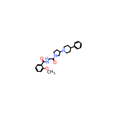 COc1ccccc1C(=O)NCC(=O)N1CCC(N2CCC(c3ccccc3)CC2)C1